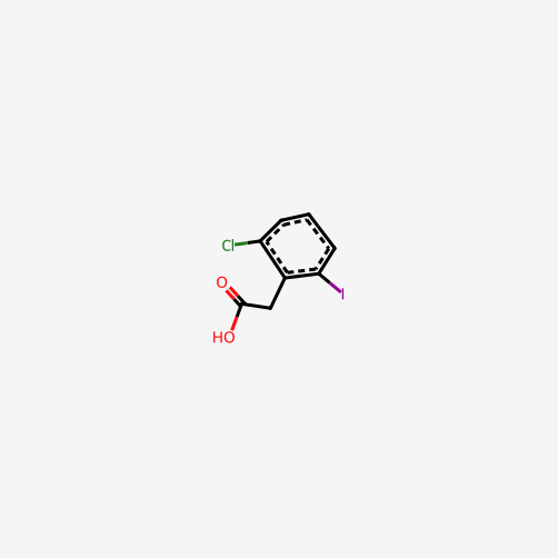 O=C(O)Cc1c(Cl)cccc1I